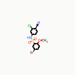 COc1ccc(Br)cc1S(=O)(=O)Nc1ccc(C#N)c(Cl)c1